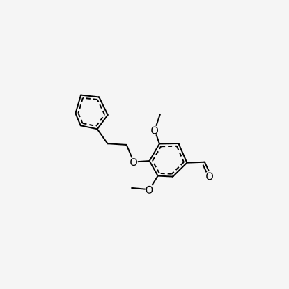 COc1cc(C=O)cc(OC)c1OCCc1ccccc1